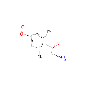 CCc1[c]c(O[O])cc(CC)c1C(=O)CN